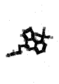 [N-]=[N+]=NCc1nc2cccc(C(F)(F)F)c2c2ccccc12